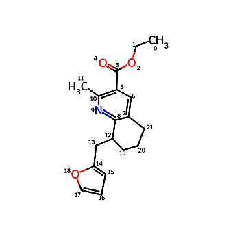 CCOC(=O)c1cc2c(nc1C)C(Cc1ccco1)CCC2